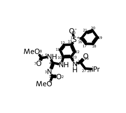 COC(=O)N=C(NC(=O)OC)Nc1ccc([S+]([O-])c2ccccc2)cc1NC(=O)CC(C)C